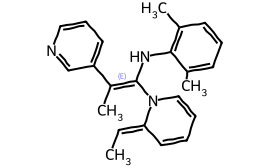 CC=C1C=CC=CN1/C(Nc1c(C)cccc1C)=C(\C)c1cccnc1